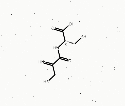 N=C(CS)C(=O)N[C@@H](CS)C(=O)O